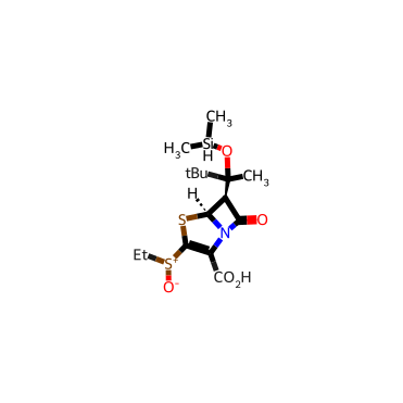 CC[S+]([O-])C1=C(C(=O)O)N2C(=O)[C@H](C(C)(O[SiH](C)C)C(C)(C)C)[C@@H]2S1